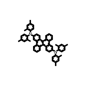 Cc1ccc(N(c2ccc3c(c2)c2ccccc2c2c4ccc(N(c5ccc(C)cc5C)c5ccc(C)cc5C)cc4c4ccccc4c32)c2ccc(C)cc2C)c(C)c1